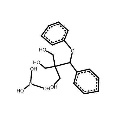 OCC(CO)(CO)C(Oc1ccccc1)c1ccccc1.OP(O)O